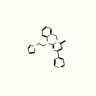 O=c1cc(-c2ccncc2)nc2n1Cc1ccccc1N2CCn1cccc1